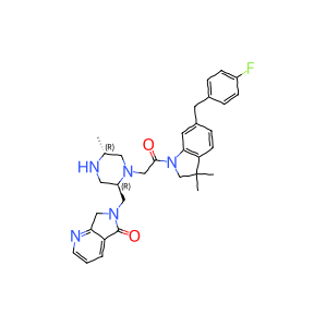 C[C@@H]1CN(CC(=O)N2CC(C)(C)c3ccc(Cc4ccc(F)cc4)cc32)[C@@H](CN2Cc3ncccc3C2=O)CN1